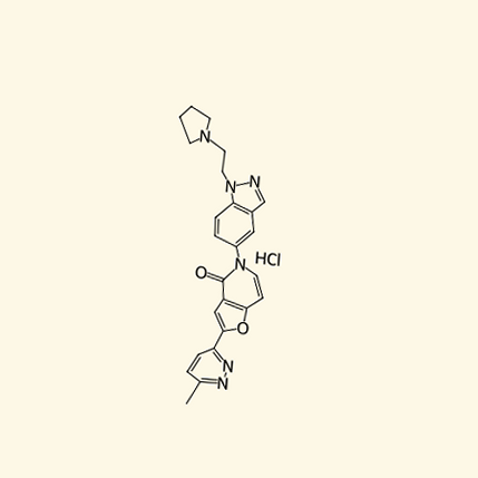 Cc1ccc(-c2cc3c(=O)n(-c4ccc5c(cnn5CCN5CCCC5)c4)ccc3o2)nn1.Cl